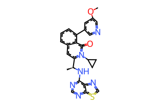 COc1cncc(-c2cccc3cc([C@H](C)Nc4ncnc5scnc45)n(C4CC4)c(=O)c23)c1